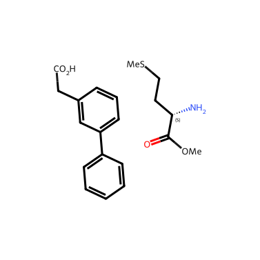 COC(=O)[C@@H](N)CCSC.O=C(O)Cc1cccc(-c2ccccc2)c1